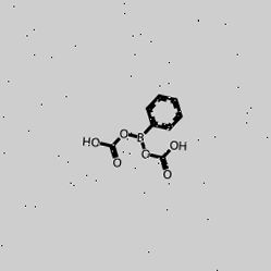 O=C(O)OB(OC(=O)O)c1ccccc1